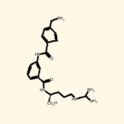 NCc1ccc(C(=O)Nc2cccc(C(=O)N[C@@H](CCCNC(N)N)C(=O)O)c2)cc1